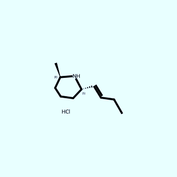 CCC=C[C@@H]1CCC[C@@H](C)N1.Cl